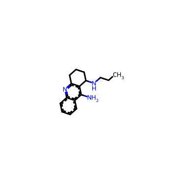 CCCNC1CCCc2nc3ccccc3c(N)c21